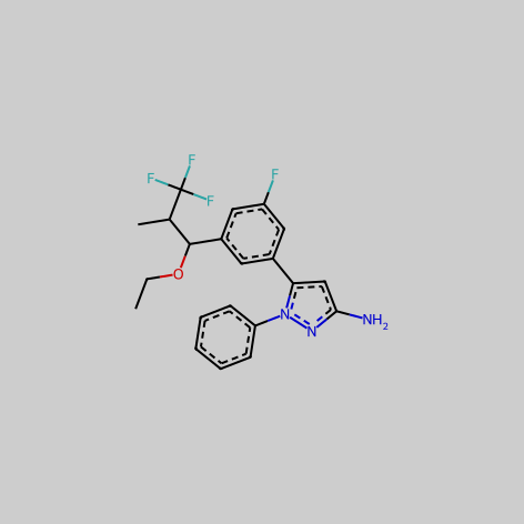 CCOC(c1cc(F)cc(-c2cc(N)nn2-c2ccccc2)c1)C(C)C(F)(F)F